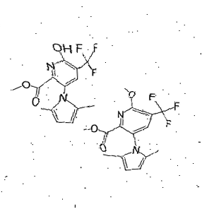 COC(=O)c1nc(O)c(C(F)(F)F)cc1-n1c(C)ccc1C.COC(=O)c1nc(OC)c(C(F)(F)F)cc1-n1c(C)ccc1C